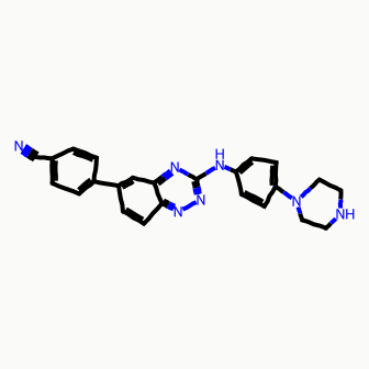 N#Cc1ccc(-c2ccc3nnc(Nc4ccc(N5CCNCC5)cc4)nc3c2)cc1